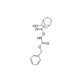 O=C(NOC(=O)C1C2CCC1C(O)C2)OCc1ccccc1